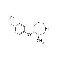 CC(C)Cc1ccc(OC2CCCNCC2C)cc1